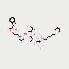 CC[C@H](C)[C@@H]([C@@H](CC(=O)N1CCC[C@H]1[C@H](OC)[C@@H](C)C(=O)N[C@H](C(=O)O)[C@H]1Cc2ccccc21)OC)N(C)C(=O)[C@@H](NC(=O)C(C)(C)NC(=O)CCCCCN1C(=O)C=CC1=O)C(C)C